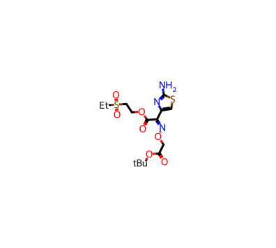 CCS(=O)(=O)CCOC(=O)C(=NOCC(=O)OC(C)(C)C)c1csc(N)n1